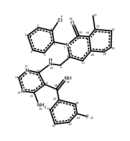 CCc1ccccc1-n1c(CNc2ncnc(N)c2C(=N)c2cccc(F)c2)cc2cccc(C)c2c1=O